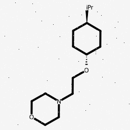 CC(C)[C@H]1CC[C@H](OCCN2CCOCC2)CC1